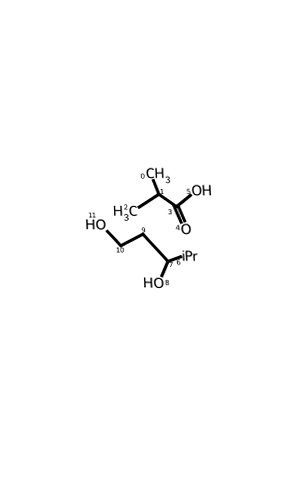 CC(C)C(=O)O.CC(C)C(O)CCO